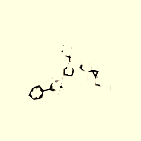 C=C[C@@H]1C[C@]1(NC(=O)[C@@H]1C[C@@H](n2nnc(-c3ccccc3)n2)CN1C(=O)OC(C)(C)C)C(=O)OCC